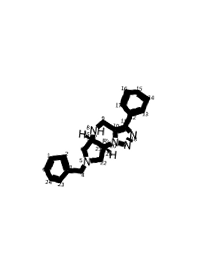 c1ccc(CN2C[C@@H]3NCc4c(-c5ccccc5)nnn4[C@@H]3C2)cc1